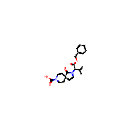 CC(C)C(C(=O)OCc1ccccc1)N1CCC2(CCN(C(=O)O)CC2)C1=O